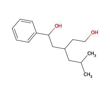 CC(C)CC(CCO)CC(O)c1ccccc1